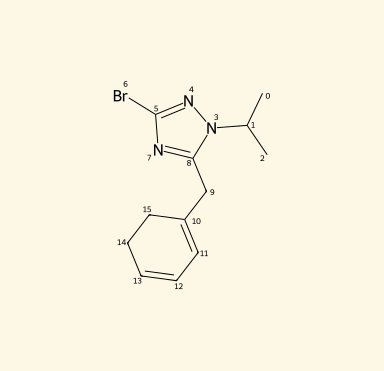 CC(C)n1nc(Br)nc1CC1=CC=CCC1